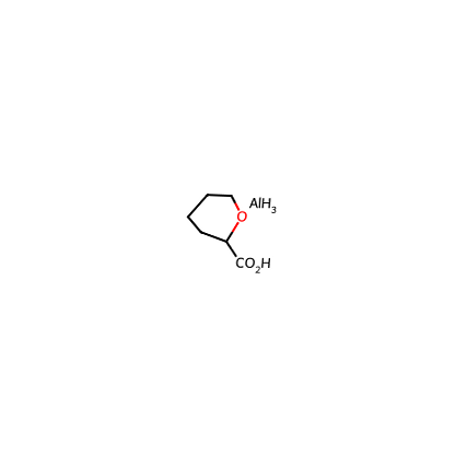 O=C(O)C1CCCCO1.[AlH3]